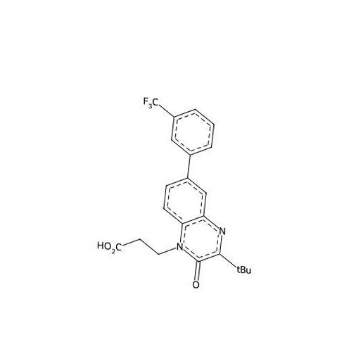 CC(C)(C)c1nc2cc(-c3cccc(C(F)(F)F)c3)ccc2n(CCC(=O)O)c1=O